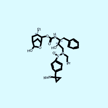 CC[C@H]1CC2CC(OC2O)C1OC(=O)N[C@@H](Cc1ccccc1)[C@H](O)CN(CC(C)C)[S+]([O-])c1ccc(C2(NC)CC2)cc1